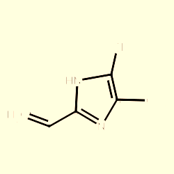 C=Cc1nc(C)c(Cl)[nH]1